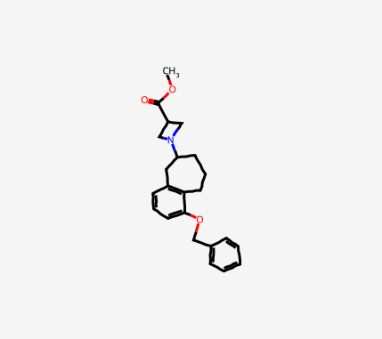 COC(=O)C1CN(C2CCCc3c(cccc3OCc3ccccc3)C2)C1